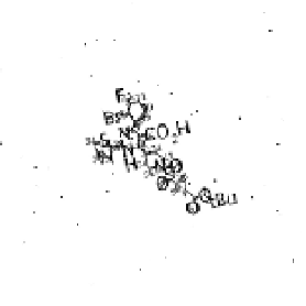 CC(C)(C)OC(=O)C1CC(S(=O)(=O)N2CCC(C3=C(C(=O)O)C(c4cccc(F)c4Br)N=C(c4nccs4)N3)CC2)C1